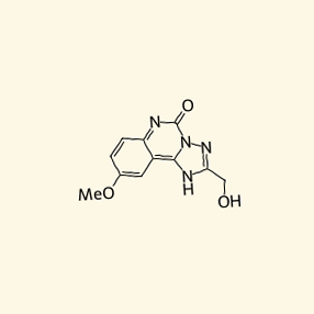 COc1ccc2nc(=O)n3nc(CO)[nH]c3c2c1